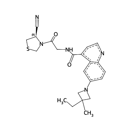 CCC1(C)CN(c2ccc3nccc(C(=O)NCC(=O)N4CSC[C@H]4C#N)c3c2)C1